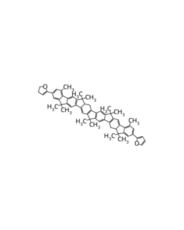 Cc1cc(-c2ccco2)cc2c1C1=CC3=C(CC1C2(C)C)c1cc2c(cc1C3(C)C)C1=C(C=C3c4cc5c(cc4C(C)(C)C3C1)-c1c(C)cc(C3=CCCO3)cc1C5(C)C)C2(C)C